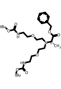 C[C@@H](C(=O)OCc1ccccc1)N(CCOCCNC(=O)OC(C)(C)C)CCOCCNC(=O)OC(C)(C)C